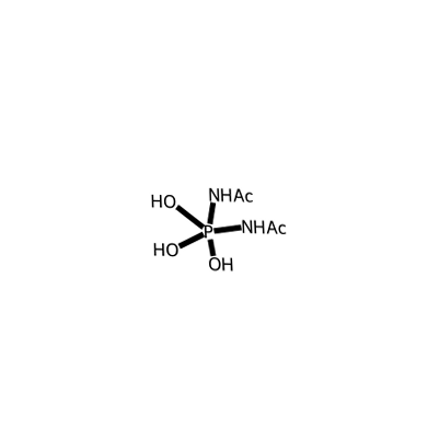 CC(=O)NP(O)(O)(O)NC(C)=O